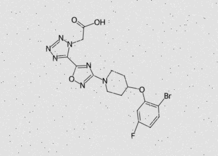 O=C(O)Cn1nnnc1-c1nc(N2CCC(Oc3cc(F)ccc3Br)CC2)no1